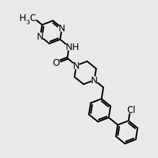 Cc1cnc(NC(=O)N2CCN(Cc3cccc(-c4ccccc4Cl)c3)CC2)cn1